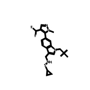 Cn1ncc(C(F)F)c1-c1ccc2c(CNSC3CC3)cn(CC(C)(C)C)c2c1